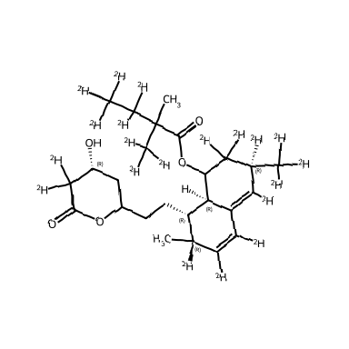 [2H]C1=C([2H])[C@]([2H])(C)[C@H](CCC2C[C@@H](O)C([2H])([2H])C(=O)O2)[C@@H]2C1=C([2H])[C@]([2H])(C([2H])([2H])[2H])C([2H])([2H])C2OC(=O)C(C)(C([2H])([2H])[2H])C([2H])([2H])C([2H])([2H])[2H]